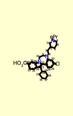 CCCN1CCCC(CCN2CCn3c(c(C4CCCCC4)c4ccc(C(=O)O)cc43)-c3ccc(Cl)cc32)C1